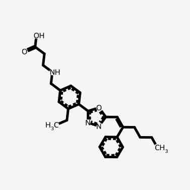 CCCCC(=Cc1nnc(-c2ccc(CNCCC(=O)O)cc2CC)o1)c1ccccc1